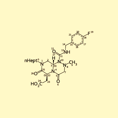 CCCCCCCN1C[C@H]2N(C(=O)CN(C)N2C(=O)NCc2ccc(F)cc2)[C@@H](CC(=O)O)C1=O